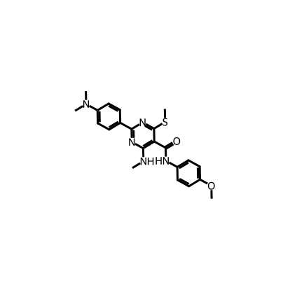 CNc1nc(-c2ccc(N(C)C)cc2)nc(SC)c1C(=O)Nc1ccc(OC)cc1